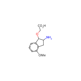 COc1cccc2c1CC(N)C2OCC(=O)O